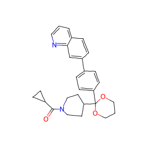 O=C(C1CC1)N1CCC(C2(c3ccc(-c4ccc5cccnc5c4)cc3)OCCCO2)CC1